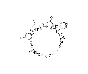 CC(C)C[C@H]1NC(=O)c2ccc(F)cc2OCC(=O)NCCCCCCCCNC(=O)[C@H](Cc2cccnc2)N(C)C(=O)[C@H]2CC(=O)CN2C1=O